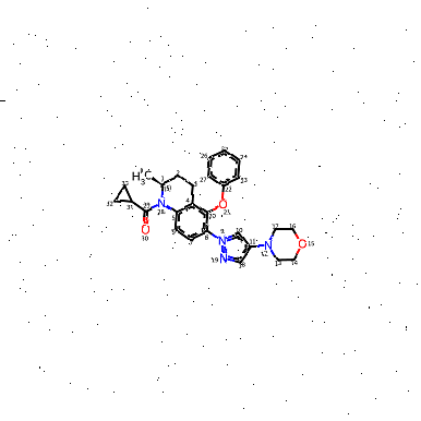 C[C@H]1CCc2c(ccc(-n3cc(N4CCOCC4)cn3)c2Oc2ccccc2)N1C(=O)C1CC1